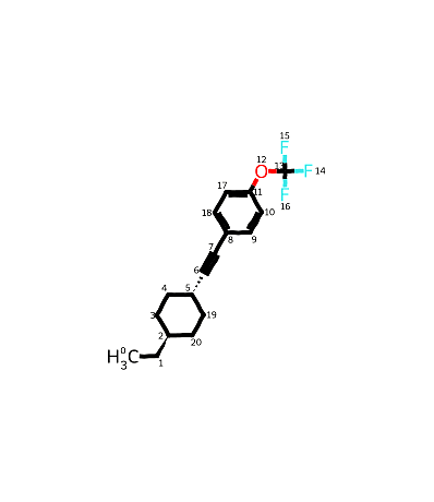 CC[C@H]1CC[C@H](C#Cc2ccc(OC(F)(F)F)cc2)CC1